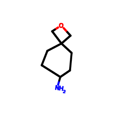 NC1CCC2(CC1)COC2